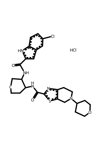 Cl.O=C(NC1CCCCC1NC(=O)c1nc2c(s1)CN(C1CCOCC1)CC2)c1cc2cc(Cl)ccc2[nH]1